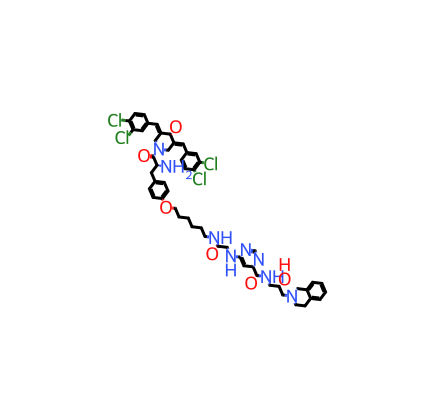 N[C@@H](Cc1ccc(OCCCCCCNC(=O)CNc2cc(C(=O)NC[C@H](O)CN3CCc4ccccc4C3)ncn2)cc1)C(=O)N1C/C(=C\c2ccc(Cl)c(Cl)c2)C(=O)/C(=C/c2ccc(Cl)c(Cl)c2)C1